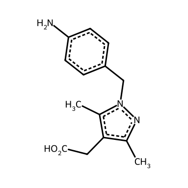 Cc1nn(Cc2ccc(N)cc2)c(C)c1CC(=O)O